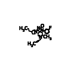 CC#CCN1CC[C@@]2(C[C@@H]1C)C(N1CCC(CCC)C1)=NC(=O)N2c1cccc(F)c1